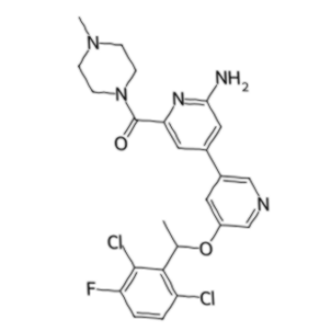 CC(Oc1cncc(-c2cc(N)nc(C(=O)N3CCN(C)CC3)c2)c1)c1c(Cl)ccc(F)c1Cl